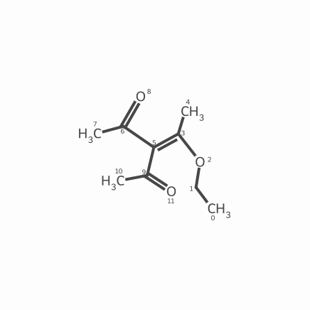 CCOC(C)=C(C(C)=O)C(C)=O